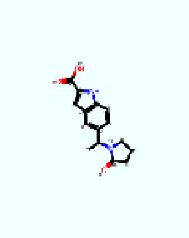 CC(c1ccc2[nH]c(C(=O)O)cc2c1)N1CCCC1=O